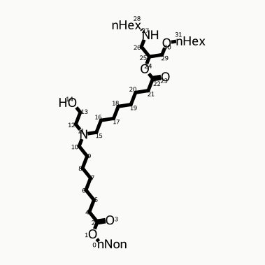 CCCCCCCCCOC(=O)CCCCCCCN(CCO)CCCCCCCC(=O)OC(CNCCCCCC)COCCCCCC